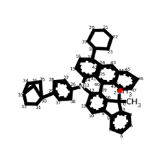 CC1(C)c2ccccc2-c2ccc(N(c3ccc(C4CCCCC4)cc3)c3ccc(C45CCC(CC4)C5)cc3)c(-c3cccc4ccccc34)c21